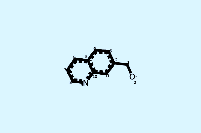 [O]Cc1ccc2cccnc2c1